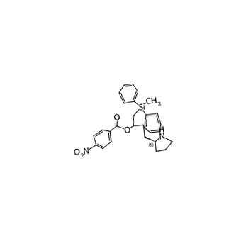 C[Si](CC(CC[C@@H]1CCCN1)OC(=O)c1ccc([N+](=O)[O-])cc1)(c1ccccc1)c1ccccc1